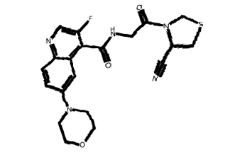 N#CC1CSCN1C(=O)CNC(=O)c1c(F)cnc2ccc(N3CCOCC3)cc12